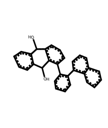 OC1c2ccccc2C(O)c2c(-c3ccccc3-c3cccc4ccccc34)cccc21